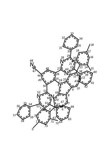 Cc1ccc(-c2ccc3c4ccc(-c5c(C)cc(C)cc5C)cc4n(-c4c(-c5nc(-c6ccccc6)cc(-c6ccccc6)n5)cc(C#N)cc4-c4nc(-c5ccccc5)cc(-c5ccccc5)n4)c3c2)c(C)c1